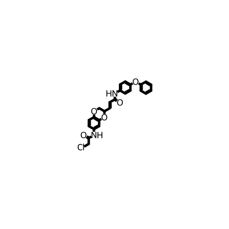 O=C(/C=C/C1COc2ccc(NC(=O)CCl)cc2O1)Nc1ccc(Oc2ccccc2)cc1